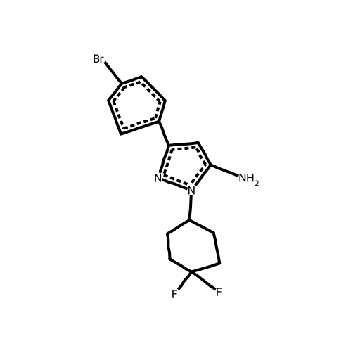 Nc1cc(-c2ccc(Br)cc2)nn1C1CCC(F)(F)CC1